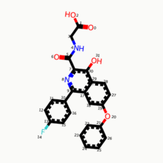 O=C(O)CNC(=O)c1nc(-c2ccc(F)cc2)c2cc(Oc3ccccc3)ccc2c1O